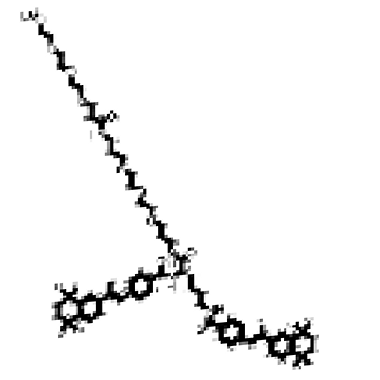 CCOCCOCCOCCOCCC(=O)NCCCOCCOCCOCCCNC(=O)[C@@H](CCCCNC(=O)c1ccc(/C=C(\C)c2ccc3c(c2)C(C)(C)CCC3(C)C)cc1)NC(=O)c1ccc(/C=C(\C)c2ccc3c(c2)C(C)(C)CCC3(C)C)cc1